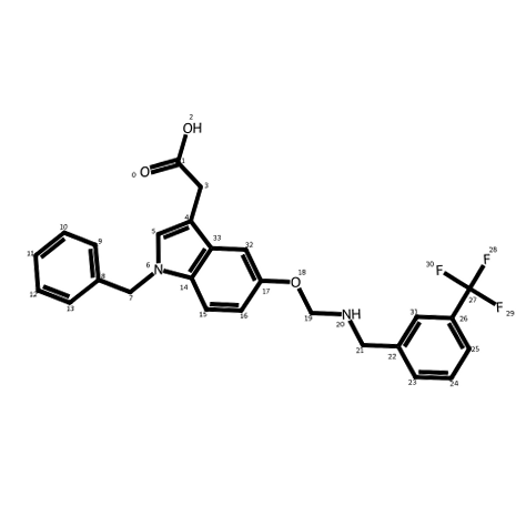 O=C(O)Cc1cn(Cc2ccccc2)c2ccc(OCNCc3cccc(C(F)(F)F)c3)cc12